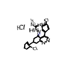 Cl.N=C(N)N/N=C1\CC(c2ccccc2Cl)Cc2nncc(-c3ccc(Cl)cc3)c21